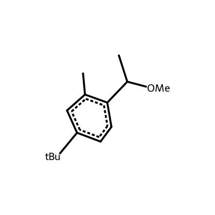 COC(C)c1ccc(C(C)(C)C)cc1C